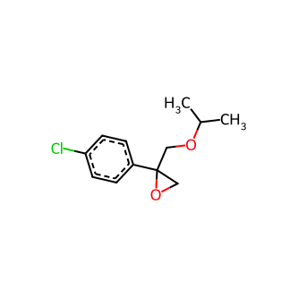 CC(C)OCC1(c2ccc(Cl)cc2)CO1